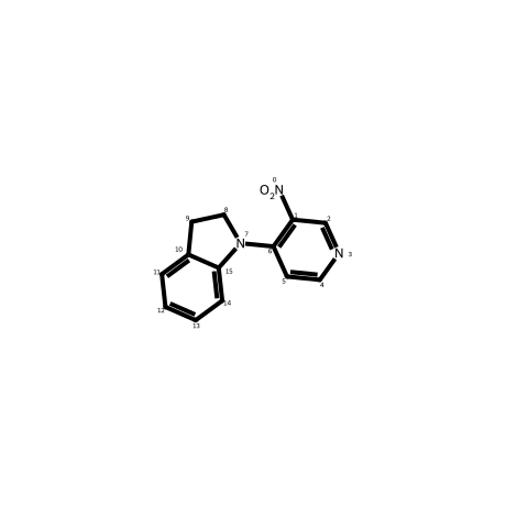 O=[N+]([O-])c1cnccc1N1CCc2ccccc21